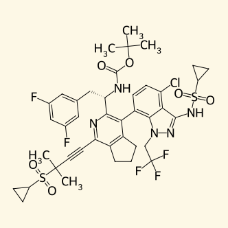 CC(C)(C)OC(=O)N[C@@H](Cc1cc(F)cc(F)c1)c1nc(C#CC(C)(C)S(=O)(=O)C2CC2)c2c(c1-c1ccc(Cl)c3c(NS(=O)(=O)C4CC4)nn(CC(F)(F)F)c13)CCC2